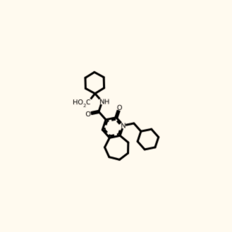 O=C(NC1(C(=O)O)CCCCC1)c1cc2c(n(CC3CCCCC3)c1=O)CCCCC2